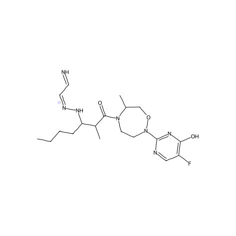 CCCCC(N/N=C\C=N)C(C)C(=O)N1CCN(c2ncc(F)c(O)n2)OCC1C